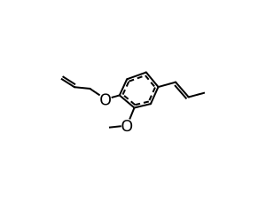 C=CCOc1ccc(C=CC)cc1OC